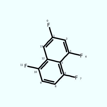 Fc1cc(F)c2c(F)ccc(F)c2c1